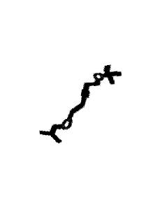 CC(C)COCCC#CCCOC(C)(C)C